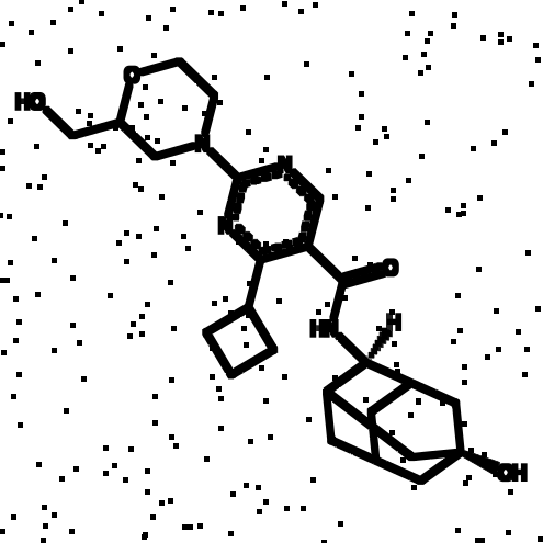 O=C(N[C@H]1C2CC3CC1C[C@@](O)(C3)C2)c1cnc(N2CCOC(CO)C2)nc1C1CCC1